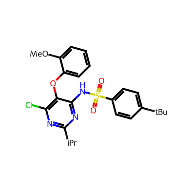 COc1ccccc1Oc1c(Cl)nc(C(C)C)nc1NS(=O)(=O)c1ccc(C(C)(C)C)cc1